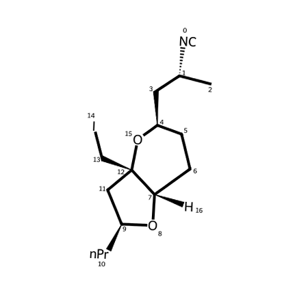 [C-]#[N+][C@H](C)C[C@H]1CC[C@@H]2O[C@@H](CCC)C[C@]2(CI)O1